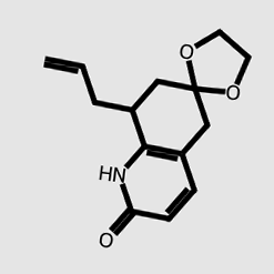 C=CCC1CC2(Cc3ccc(=O)[nH]c31)OCCO2